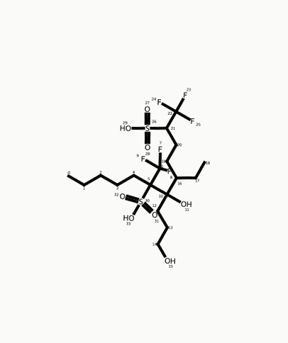 CCCCCC(C(F)(F)F)(C(O)(CCCO)C(CC)CCC(C(F)(F)F)S(=O)(=O)O)S(=O)(=O)O